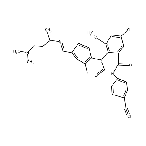 C#Cc1ccc(NC(=O)c2cc(Cl)cc(OC)c2N(C=O)c2ccc(C=NN(C)CCN(C)C)cc2F)cc1